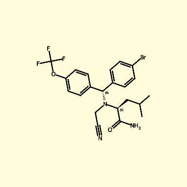 CC(C)C[C@@H](C(N)=O)N(CC#N)[C@@H](c1ccc(Br)cc1)c1ccc(OC(F)(F)F)cc1